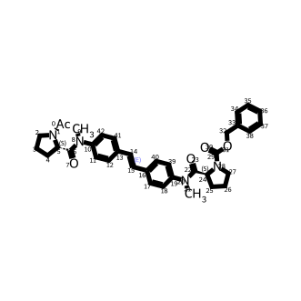 CC(=O)N1CCC[C@H]1C(=O)N(C)c1ccc(/C=C/c2ccc(N(C)C(=O)[C@@H]3CCCN3C(=O)OCc3ccccc3)cc2)cc1